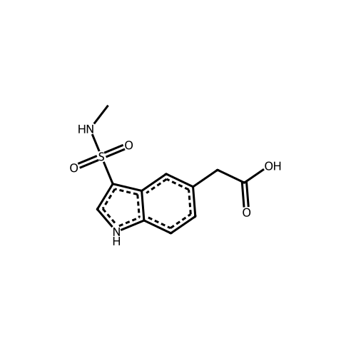 CNS(=O)(=O)c1c[nH]c2ccc(CC(=O)O)cc12